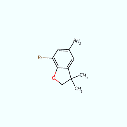 Bc1cc(Br)c2c(c1)C(C)(C)CO2